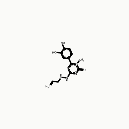 C=CCNNc1nc(-c2ccc(O)c(O)c2)n(C)c(=O)n1